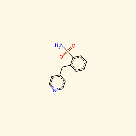 NS(=O)(=O)c1ccccc1Cc1ccncc1